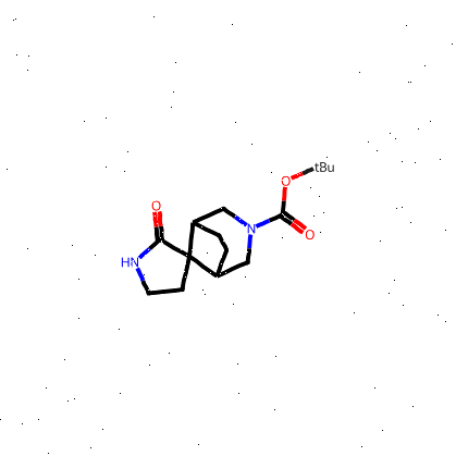 CC(C)(C)OC(=O)N1CC2CCC(C1)C21CCNC1=O